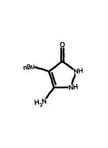 CCCCc1c(N)[nH][nH]c1=O